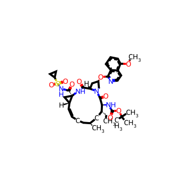 CC[C@@H]1C[C@H](C)CC/C=C\[C@@H]2C[C@@]2(C(=O)NS(=O)(=O)C2CC2)NC(=O)[C@@H]2C[C@@H](Oc3nccc4c(OC)cccc34)CN2C(=O)[C@H]1NC(=O)OC(C)(C)C